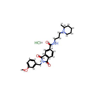 COc1cccc(CN2C(=O)c3ccc(C(=O)NCCCN4CCCCC4C)cc3C2=O)c1.Cl